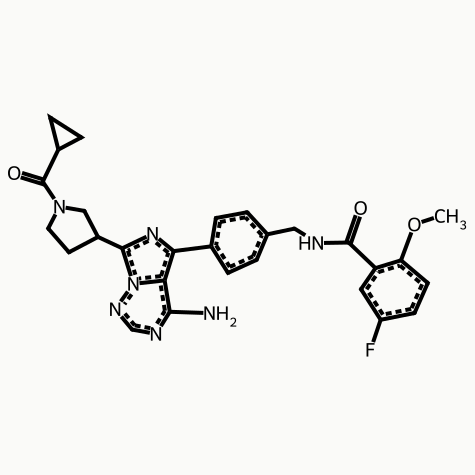 COc1ccc(F)cc1C(=O)NCc1ccc(-c2nc(C3CCN(C(=O)C4CC4)C3)n3ncnc(N)c23)cc1